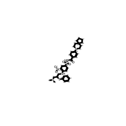 CN(C)CC(CNc1ccc(S(=O)(=O)NC(=O)c2ccc(N3CCC4(CCCC4)CC3)cc2)cc1[N+](=O)[O-])Sc1ccccc1